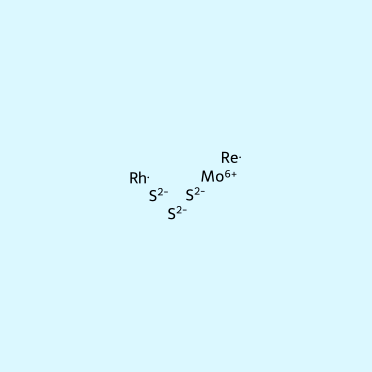 [Mo+6].[Re].[Rh].[S-2].[S-2].[S-2]